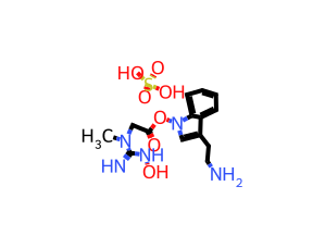 CN(CC(=O)On1cc(CCN)c2ccccc21)C(=N)NO.O=S(=O)(O)O